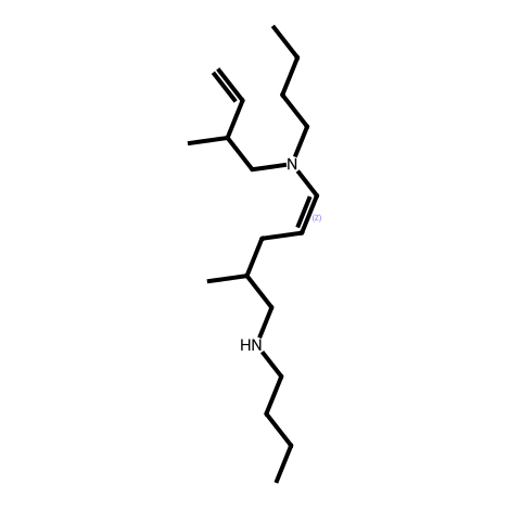 C=CC(C)CN(/C=C\CC(C)CNCCCC)CCCC